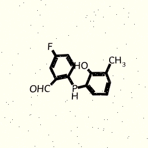 Cc1cccc(Pc2ccc(F)cc2C=O)c1O